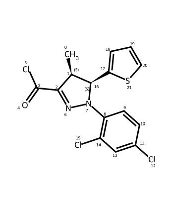 C[C@@H]1C(C(=O)Cl)=NN(c2ccc(Cl)cc2Cl)[C@@H]1c1cccs1